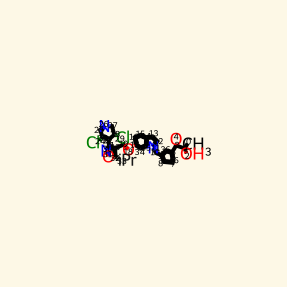 CC(O)C(=O)c1cccc(Cn2ccc3ccc(OCc4c(C5=C(Cl)C=NCC5Cl)noc4C(C)C)cc32)c1